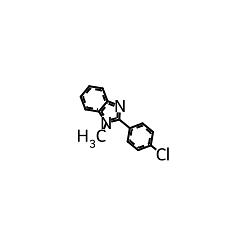 Cn1c(-c2ccc(Cl)cc2)nc2ccccc21